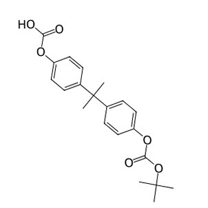 CC(C)(C)OC(=O)Oc1ccc(C(C)(C)c2ccc(OC(=O)O)cc2)cc1